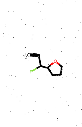 C=CC(F)C1CCCO1